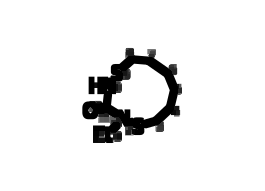 CCN1SCCCCCCSNC1=O